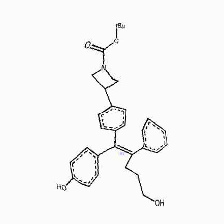 CC(C)(C)OC(=O)N1CC(c2ccc(/C(=C(/CCCO)c3ccccc3)c3ccc(O)cc3)cc2)C1